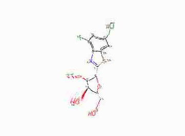 OC[C@H]1O[C@@H](c2nc3c(F)cc(Cl)cc3s2)[C@H](O)[C@@H]1O